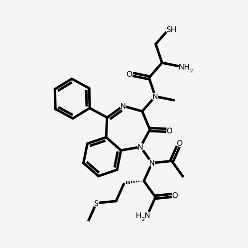 CSCC[C@@H](C(N)=O)N(C(C)=O)N1C(=O)C(N(C)C(=O)C(N)CS)N=C(c2ccccc2)c2ccccc21